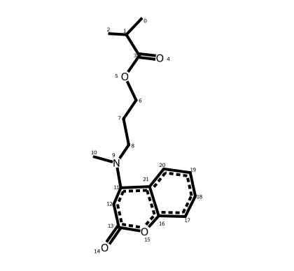 CC(C)C(=O)OCCCN(C)c1cc(=O)oc2ccccc12